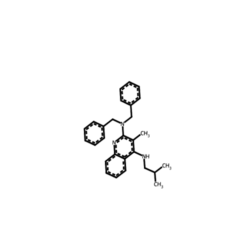 Cc1c(N(Cc2ccccc2)Cc2ccccc2)nc2ccccc2c1NCC(C)C